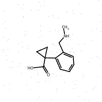 CNCc1ccccc1C1(C(=O)O)CC1